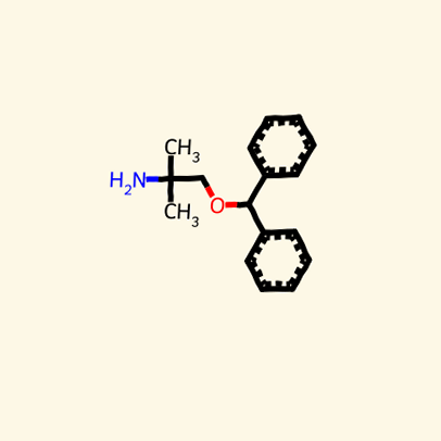 CC(C)(N)COC(c1ccccc1)c1ccccc1